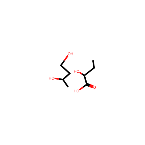 CC(O)CCO.CCC(O)C(=O)O